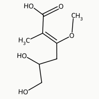 COC(CC(O)CO)=C(C)C(=O)O